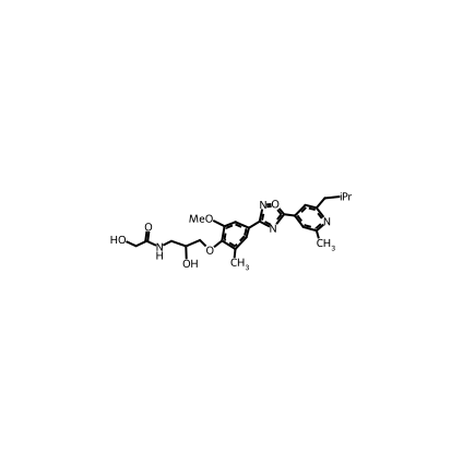 COc1cc(-c2noc(-c3cc(C)nc(CC(C)C)c3)n2)cc(C)c1OCC(O)CNC(=O)CO